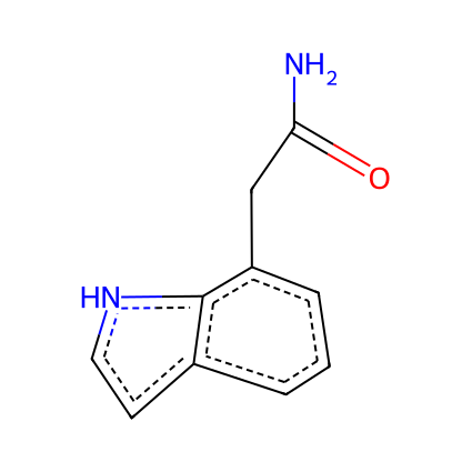 NC(=O)Cc1cccc2cc[nH]c12